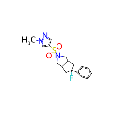 Cn1cc(S(=O)(=O)N2CC3CC(F)(c4ccccc4)CC3C2)cn1